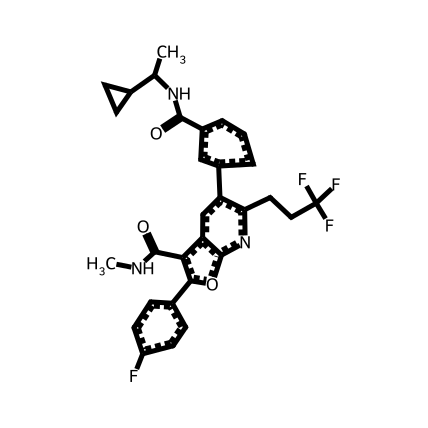 CNC(=O)c1c(-c2ccc(F)cc2)oc2nc(CCC(F)(F)F)c(-c3cccc(C(=O)NC(C)C4CC4)c3)cc12